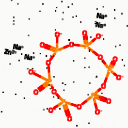 O=P1([O-])OP(=O)([O-])OP(=O)([O-])OP(=O)([O-])OP(=O)([O-])OP(=O)([O-])O1.[Na+].[Na+].[Na+].[Na+].[Zn+2]